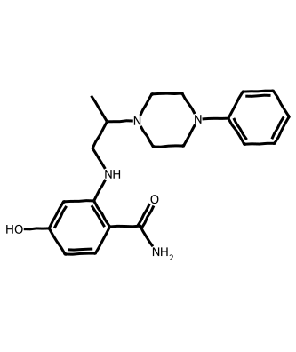 CC(CNc1cc(O)ccc1C(N)=O)N1CCN(c2ccccc2)CC1